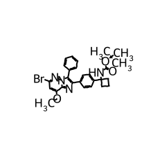 COc1cc(Br)nn2c(-c3ccccc3)c(-c3ccc(C4(NC(=O)OC(C)(C)C)CCC4)cc3)nc12